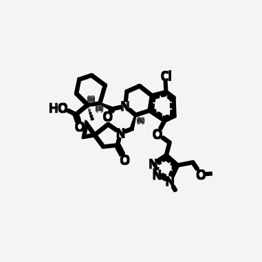 COCc1c(COc2ccc(Cl)c3c2[C@@H](CN2CC4(CC4)CC2=O)N(C(=O)[C@@H]2CCCC[C@]2(C)C(=O)O)CC3)nnn1C